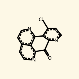 O=C1c2nccc(Cl)c2-c2nccc3ccnc1c23